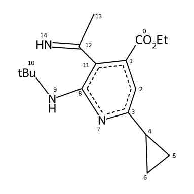 CCOC(=O)c1cc(C2CC2)nc(NC(C)(C)C)c1C(C)=N